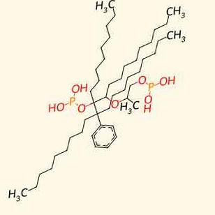 CCCCCCCCCC(OC(C)COP(O)O)C(CCCCCCCCC)(OP(O)O)C(CCCCCCCCC)(CCCCCCCCC)c1ccccc1